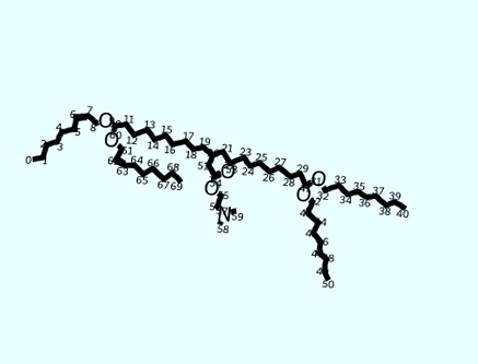 CCCCCC/C=C\COC(CCCCCCCCCC(CCCCCCCCCC(OCCCCCCCCC)OCCCCCCCCC)CC(=O)OCCN(C)C)OC/C=C\CCCCCC